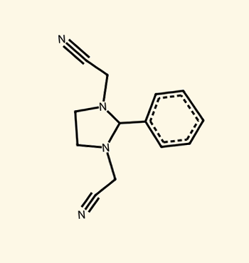 N#CCN1CCN(CC#N)C1c1ccccc1